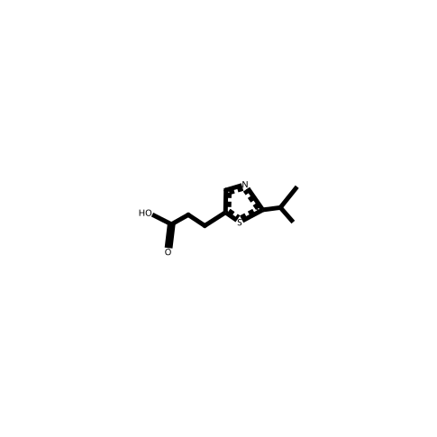 CC(C)c1ncc(CCC(=O)O)s1